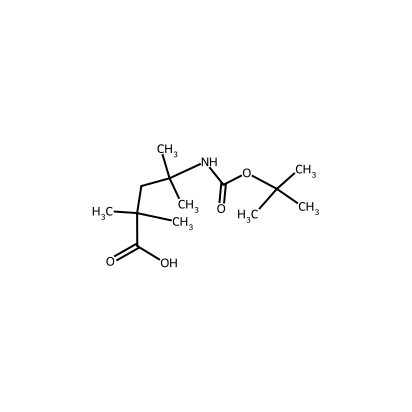 CC(C)(CC(C)(C)C(=O)O)NC(=O)OC(C)(C)C